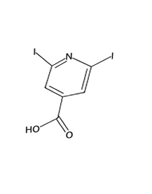 O=C(O)c1cc(I)nc(I)c1